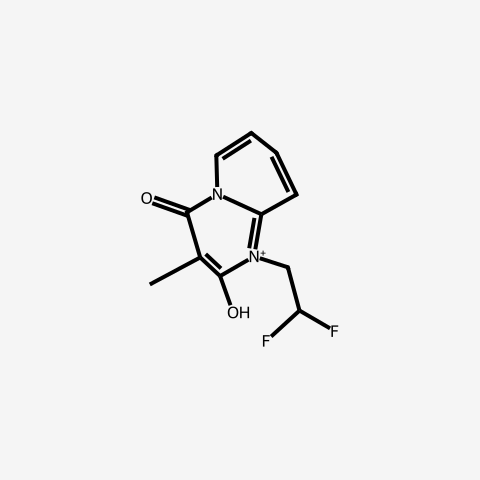 Cc1c(O)[n+](CC(F)F)c2ccccn2c1=O